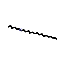 CCCCC/C=C/CCCCCCCCCCCCCCCC